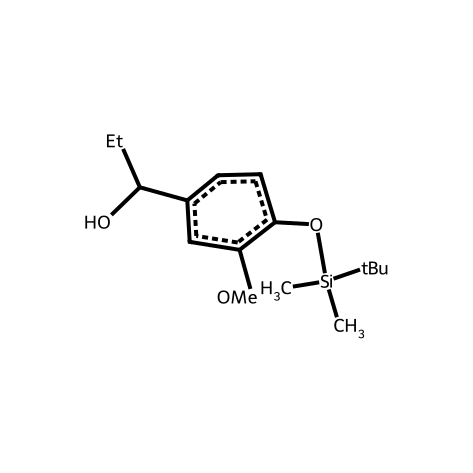 CCC(O)c1ccc(O[Si](C)(C)C(C)(C)C)c(OC)c1